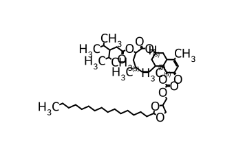 CCCCCCCCCCCCCCCC1OCC(COC(=O)O[C@@H]2C(=O)C=C(C)C3C[C@@H]4CC(CC[C@H](C)CC(OC(=O)CC(C(C)C)C(C)C)C(=O)O4)[C@]32C)O1